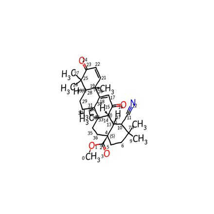 COC(=O)[C@]12CCC(C)(C)C(C#N)[C@H]1[C@H]1C(=O)C=C3[C@@]4(C)C=CC(=O)C(C)(C)[C@@H]4CC[C@@]3(C)[C@]1(C)CC2